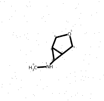 CNC1C2COCC21